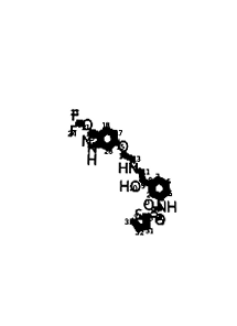 O=S(=O)(Nc1cccc(C(O)CNCCOc2ccc3c(OC(F)F)n[nH]c3c2)c1)c1cccs1